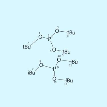 CC(C)(C)OP(OC(C)(C)C)OC(C)(C)C.CCC(C)OP(OC(C)CC)OC(C)CC